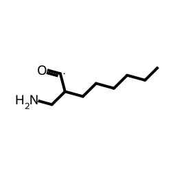 CCCCCCC([C]=O)CN